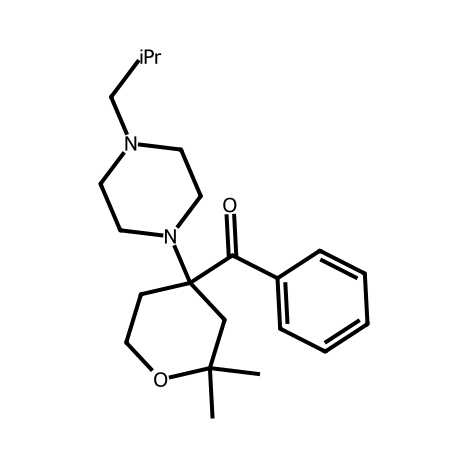 CC(C)CN1CCN(C2(C(=O)c3ccccc3)CCOC(C)(C)C2)CC1